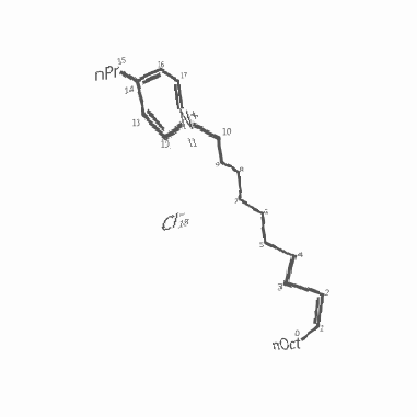 CCCCCCCC/C=C\CCCCCCCC[n+]1ccc(CCC)cc1.[Cl-]